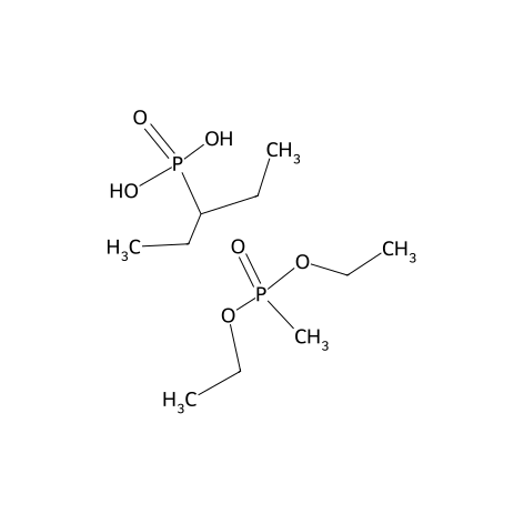 CCC(CC)P(=O)(O)O.CCOP(C)(=O)OCC